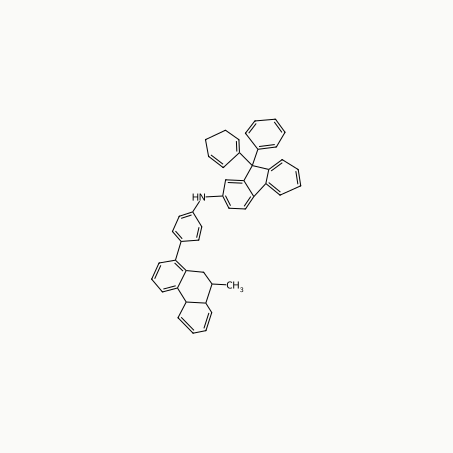 CC1Cc2c(-c3ccc(Nc4ccc5c(c4)C(C4=CCCC=C4)(c4ccccc4)c4ccccc4-5)cc3)cccc2C2C=CC=CC12